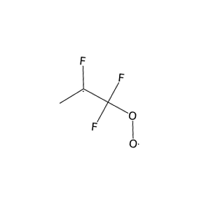 C[C](F)C(F)(F)O[O]